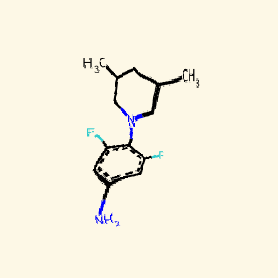 CC1CC(C)CN(c2c(F)cc(N)cc2F)C1